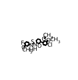 CCOc1c(Cl)ccc(C2CCCC(NC(=S)Nc3ccc(F)c(OC)c3)C2=O)c1OCC